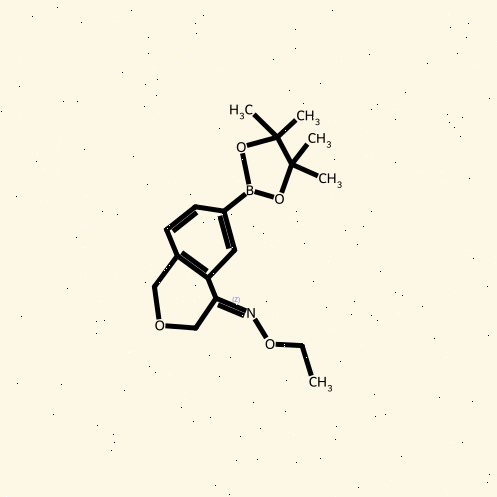 CCO/N=C1\COCc2ccc(B3OC(C)(C)C(C)(C)O3)cc21